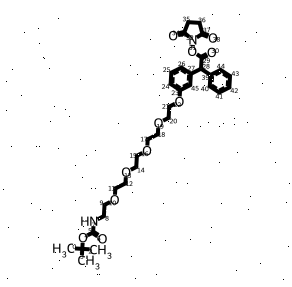 CC(C)(C)OC(=O)NCCOCCOCCOCCOCCOc1cccc(C(C(=O)ON2C(=O)CCC2=O)c2ccccc2)c1